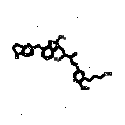 CNc1ncc(/C=C/C(=O)N(C)Cc2c(C)oc3c(Oc4ccc5c(c4)CCN5)cccc23)cc1CCCC=O